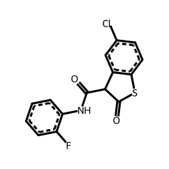 O=C(Nc1ccccc1F)C1C(=O)Sc2ccc(Cl)cc21